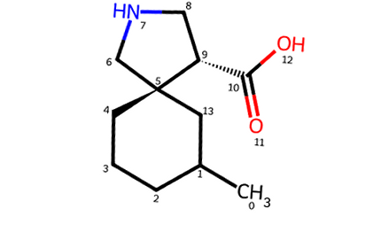 CC1CCC[C@]2(CNC[C@@H]2C(=O)O)C1